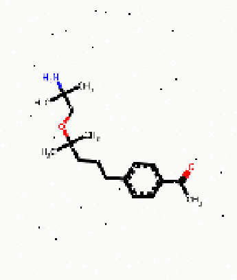 CC(=O)c1ccc(CCCC(C)(C)OCC(C)(C)N)cc1